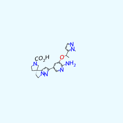 CC(Oc1cc(-c2cc3n(n2)CC[C@@]32CCN(C(=O)O)C2)cnc1N)c1ccnn1C